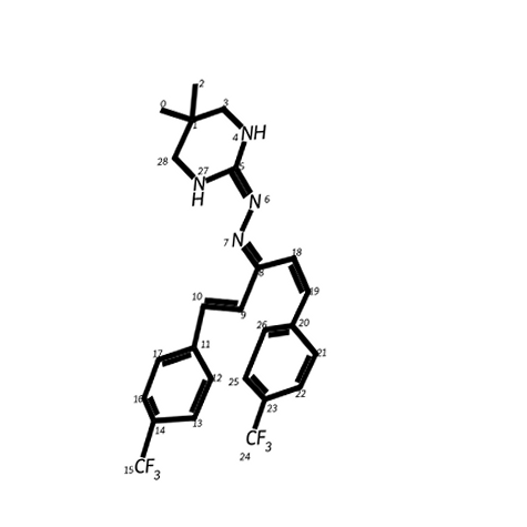 CC1(C)CNC(=N/N=C(C=Cc2ccc(C(F)(F)F)cc2)\C=C/c2ccc(C(F)(F)F)cc2)NC1